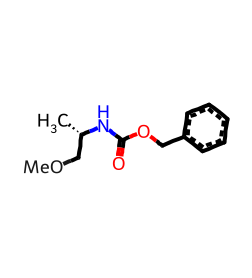 COC[C@H](C)NC(=O)OCc1ccccc1